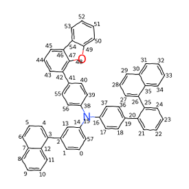 c1cc(-c2cccc3ccccc23)cc(N(c2ccc(-c3ccccc3-c3cccc4ccccc34)cc2)c2ccc(-c3cccc4c3oc3ccccc34)cc2)c1